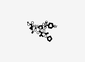 C=C[C@@H]1C[C@]1(NC(=O)[C@@H]1C[C@H](OS(=O)(=O)c2ccc(Br)cc2)CN1C(=O)[C@@H](NC(=C)OC1CCCC1)C(=C)C)C(=O)OC